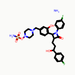 N.NS(=O)(=O)ON1CCN(Cc2ccc(C3C(CCC(O)c4ccc(F)cc4)C(=O)N3c3ccc(F)cc3)c(O)c2)CC1